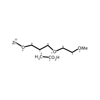 CC(=O)O.COCCOCCC[O][Zn]